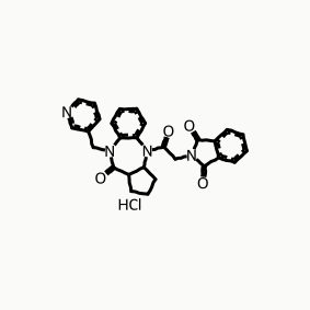 Cl.O=C1c2ccccc2C(=O)N1CC(=O)N1c2ccccc2N(Cc2cccnc2)C(=O)C2CCCC21